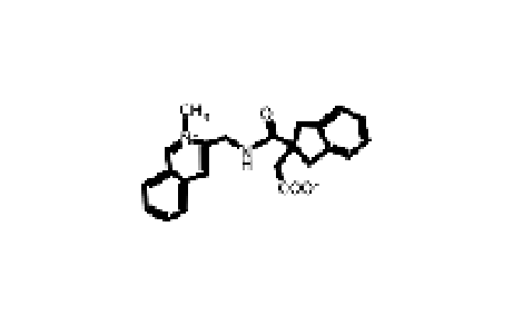 C[n+]1cc2ccccc2cc1CNC(=O)C1(CC(=O)[O-])Cc2ccccc2C1